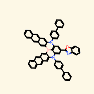 c1ccc(-c2ccc(N3c4cc5cc6ccccc6cc5cc4B4c5cc6cc7ccccc7cc6cc5N(c5ccc(-c6ccccc6)cc5)c5cc(-c6nc7ccccc7o6)cc3c54)cc2)cc1